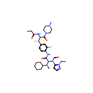 CCC(=O)N[C@@H](C(=O)N1CCN(C)CC1)[C@@H](C)c1ccc(NC(=O)[C@H]([C@@H](C)C2CCCCC2)N(C=O)c2ccnn2CC)c(F)c1